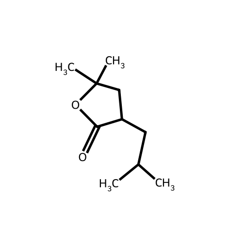 CC(C)CC1CC(C)(C)OC1=O